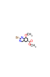 COC(=O)c1cc(OC)c2nc(Br)ncc2c1